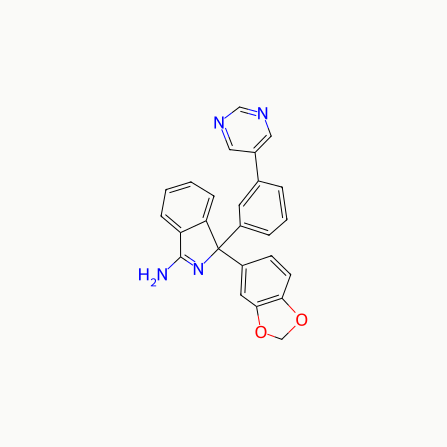 NC1=NC(c2cccc(-c3cncnc3)c2)(c2ccc3c(c2)OCO3)c2ccccc21